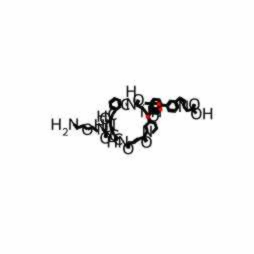 NCCOCCNC(=O)[C@@H]1CCNC(=O)/C=C/C(=O)N2CCC[C@](Cc3ccccc3)(C2)C(=O)N[C@@H](Cc2ccc(-c3ccc4c(ccn4CC(=O)O)c3)cc2)C(=O)NCc2ccccc2CC(=O)N1